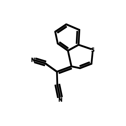 N#CC(C#N)=C1C=CSc2ccccc21